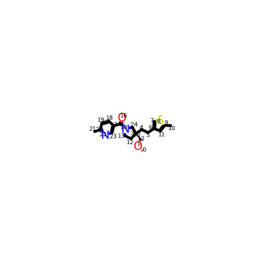 COC[C@@]1(CCc2csc(C)c2)CCN(C(=O)c2ccc(C)nc2)C1